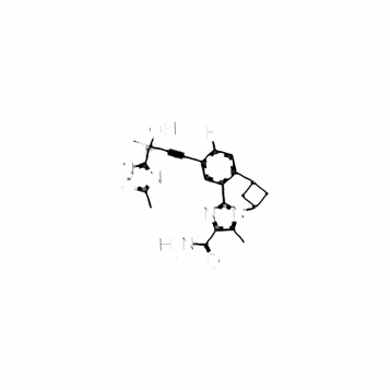 Cc1nc([C@](C)(O)C#Cc2cc3c(cc2F)C2CC(C2)n2c-3nc(C(N)=O)c2C)no1